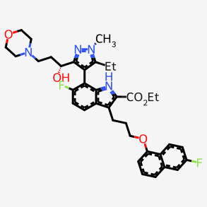 CCOC(=O)c1[nH]c2c(-c3c([C@H](O)CCN4CCOCC4)nn(C)c3CC)c(F)ccc2c1CCCOc1cccc2cc(F)ccc12